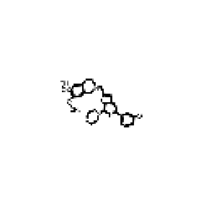 COc1cc2c(cc1OC)CN(Cc1cc3nc(-c4cccc(O)c4)nc(N4CCOCC4)c3s1)CC2